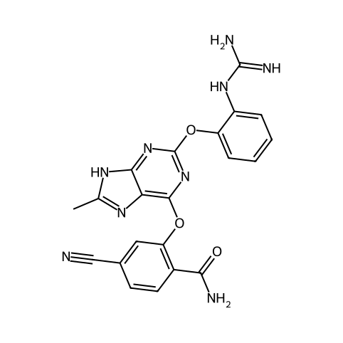 Cc1nc2c(Oc3cc(C#N)ccc3C(N)=O)nc(Oc3ccccc3NC(=N)N)nc2[nH]1